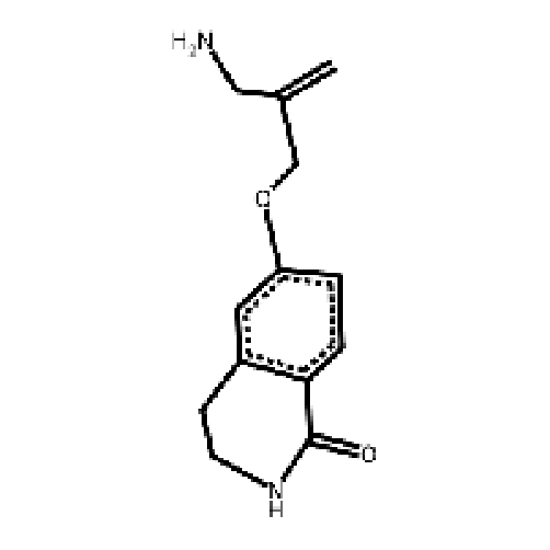 C=C(CN)COc1ccc2c(c1)CCNC2=O